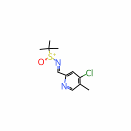 Cc1cnc(/C=N/[S+]([O-])C(C)(C)C)cc1Cl